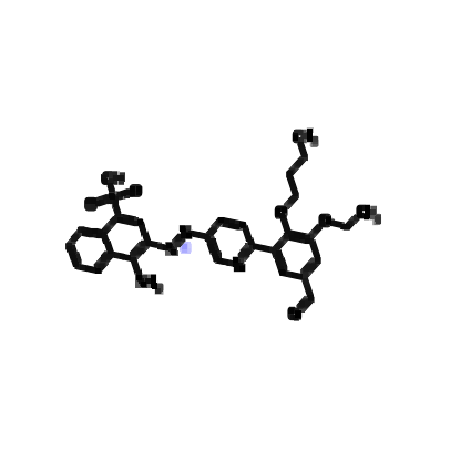 CCCCOc1c(OCC)cc(C=O)cc1-c1ccc(/N=N/c2cc(S(=O)(=O)O)c3ccccc3c2N)cn1